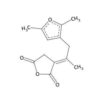 CC(Cc1cc(C)oc1C)=C1CC(=O)OC1=O